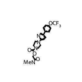 CNC(=O)COC(=O)N1CCN(c2ccc(-c3ccc(OC(F)(F)F)cc3)cn2)CC1